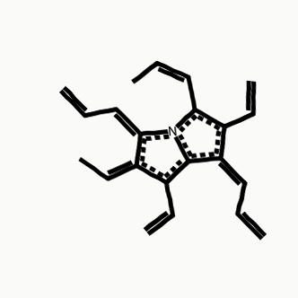 C=C/C=c1/c(C=C)c(/C=C\C)n2c(=C/C=C)/c(=C\C)c(C=C)c12